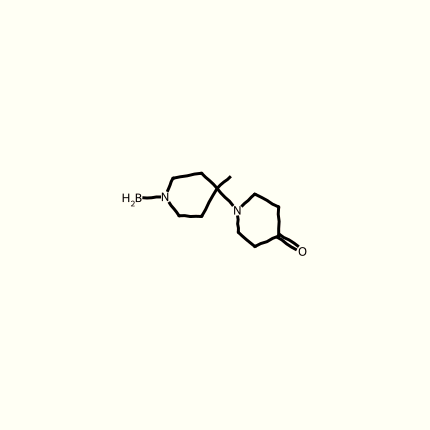 BN1CCC(C)(N2CCC(=O)CC2)CC1